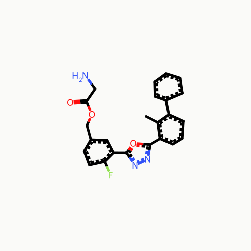 Cc1c(-c2ccccc2)cccc1-c1nnc(-c2cc(COC(=O)CN)ccc2F)o1